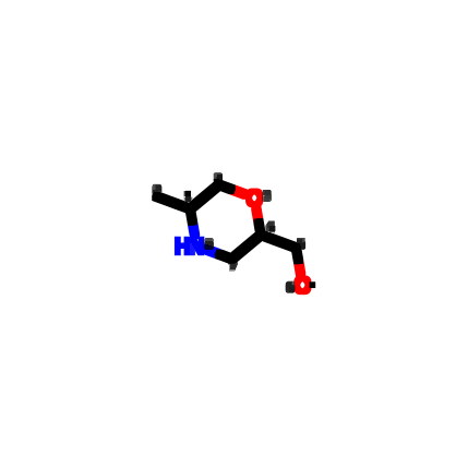 CC1COC(C[O])CN1